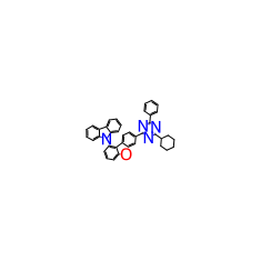 c1ccc(-c2nc(-c3ccc4c(c3)oc3cccc(-n5c6ccccc6c6ccccc65)c34)nc(C3CCCCC3)n2)cc1